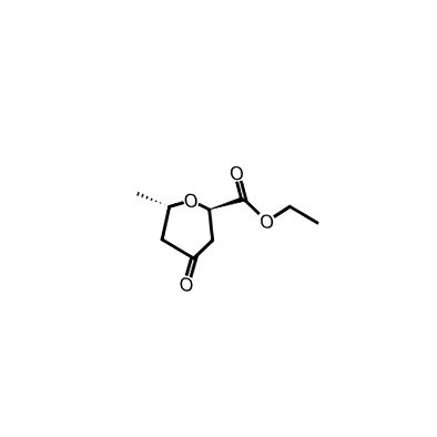 CCOC(=O)[C@H]1CC(=O)C[C@H](C)O1